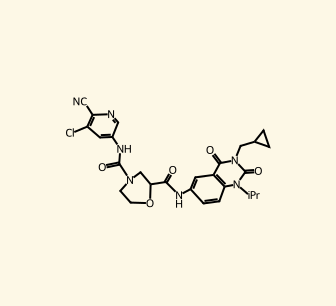 CC(C)n1c(=O)n(CC2CC2)c(=O)c2cc(NC(=O)C3CN(C(=O)Nc4cnc(C#N)c(Cl)c4)CCO3)ccc21